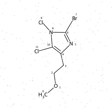 COCCc1nc(Br)n(Cl)c1Cl